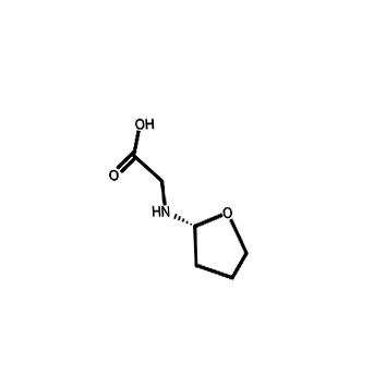 O=C(O)CN[C@H]1CCCO1